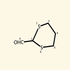 O=[C]C1SCCCS1